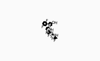 O[C@@H]1C[C@H](c2cc(F)ccc2F)N(c2ccn3nc(F)c(NC(=S)NC4CC4(F)F)c3n2)C1